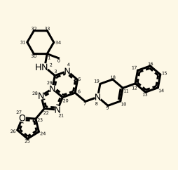 CC1(Nc2ncc(CN3CC=C(c4ccccc4)CC3)c3nc(-c4ccco4)nn23)CCCCC1